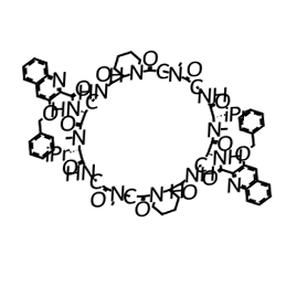 CC(C)[C@H]1C(=O)NCC(=O)N(C)CC(=O)N2CCCC[C@H]2C(=O)NC[C@@H](NC(=O)c2nc3ccccc3cc2OCc2ccccc2)C(=O)N(C)[C@@H](C(C)C)C(=O)NCC(=O)N(C)CC(=O)N2CCCC[C@H]2C(=O)NC[C@@H](NC(=O)c2nc3ccccc3cc2OCc2ccccc2)C(=O)N1C